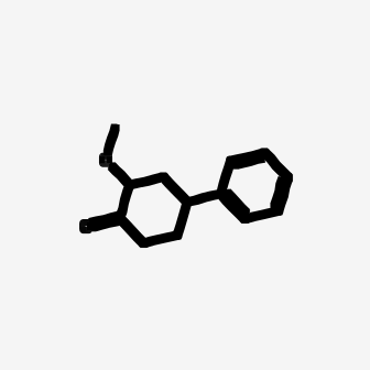 COC1CC(c2ccccc2)CCC1=O